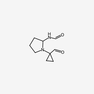 O=CNC1CCCN1C1(C=O)CC1